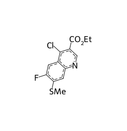 CCOC(=O)c1cnc2cc(SC)c(F)cc2c1Cl